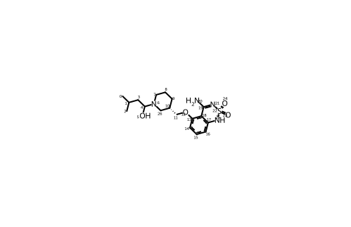 CC(C)CC(O)N1CCC[C@H](COc2cccc3c2C(N)=NS(=O)(=O)N3)C1